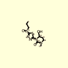 CCC[S+]([O-])c1nnc(N2C(=O)N(C)CCC2O)s1